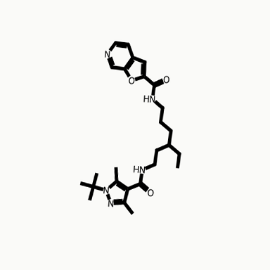 CCC(CCCNC(=O)c1cc2ccncc2o1)CCNC(=O)c1c(C)nn(C(C)(C)C)c1C